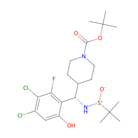 CC(C)(C)OC(=O)N1CCC([C@H](N[S+]([O-])C(C)(C)C)c2c(O)cc(Cl)c(Cl)c2F)CC1